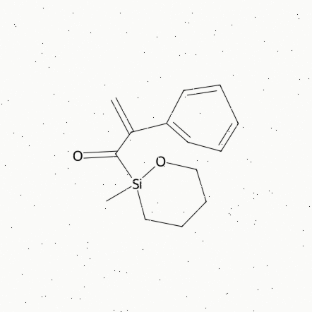 C=C(C(=O)[Si]1(C)CCCCO1)c1ccccc1